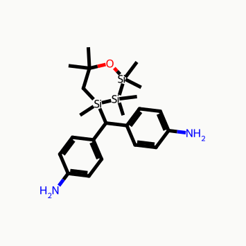 CC1(C)C[Si](C)(C(c2ccc(N)cc2)c2ccc(N)cc2)[Si](C)(C)[Si](C)(C)O1